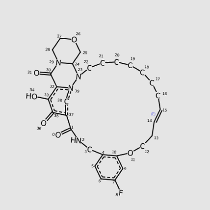 O=C1NCc2ccc(F)cc2OCC/C=C/CCCCCCCN2C3COCCN3C(=O)c3c(O)c(=O)c1cn32